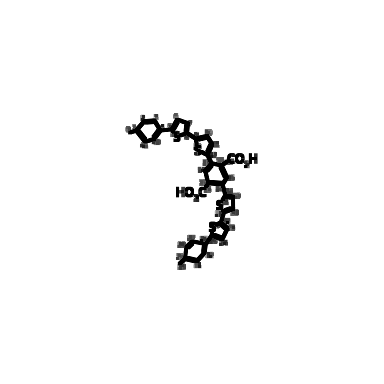 Cc1ccc(-c2ccc(-c3ccc(-c4cc(C(=O)O)c(-c5ccc(-c6ccc(-c7ccc(C)cc7)s6)s5)cc4C(=O)O)s3)s2)cc1